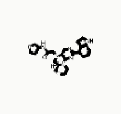 O=C(CN1C[C@@H]2COCCN2c2nc(-c3cccc4[nH]ccc34)ncc21)NC1CCOC1